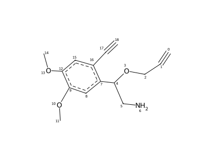 C#CCOC(CN)c1cc(OC)c(OC)cc1C#C